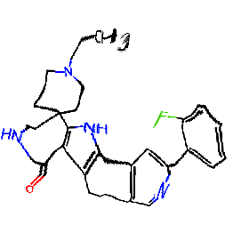 CCN1CCC2(CC1)CNC(=O)c1c2[nH]c2c1CCc1cnc(-c3ccccc3F)cc1-2